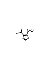 CC(C)c1ccsc1N=O